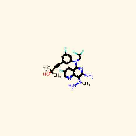 CN(N)c1c(N)nc(N(CC(F)F)c2cc(F)cc(C#CC(C)(C)O)c2)c2cc(F)cnc12